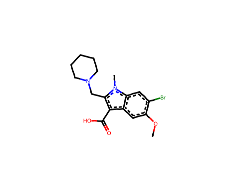 COc1cc2c(C(=O)O)c(CN3CCCCC3)n(C)c2cc1Br